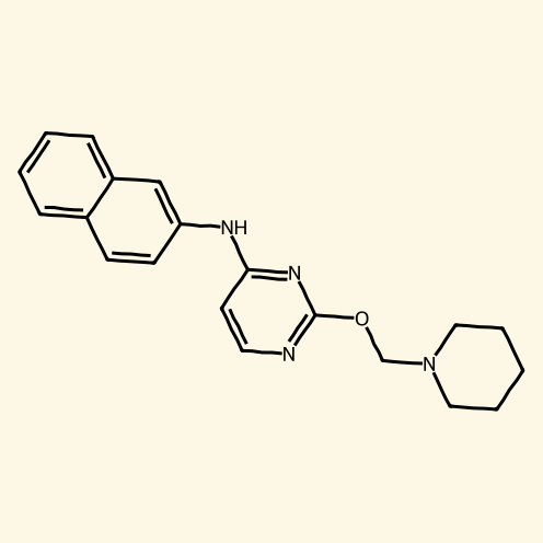 c1ccc2cc(Nc3ccnc(OCN4CCCCC4)n3)ccc2c1